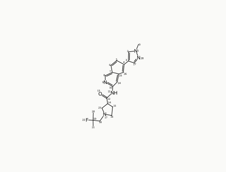 Cn1cc(-c2ccc3cnc(NC(=O)C4CCN(CC(C)(C)F)C4)cc3c2)cn1